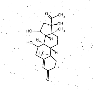 CC(=O)[C@@]1(O)CC(O)[C@H]2[C@@H]3C(O)CC4=CC(=O)CC[C@]4(C)[C@H]3CC[C@@]21C